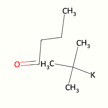 CCCC=O.C[C](C)(C)[K]